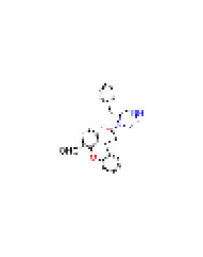 O=Cc1ccccc1Oc1ccccc1CCC(=O)N1CCNCC1Cc1ccccc1